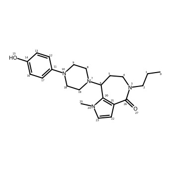 CCCN1CCC(N2CCN(c3ccc(O)cc3)CC2)c2c(ccn2C)C1=O